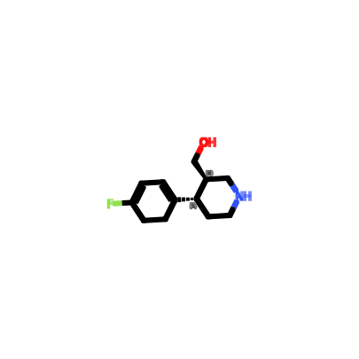 OC[C@H]1CNCC[C@@H]1C1=CC=C(F)CC1